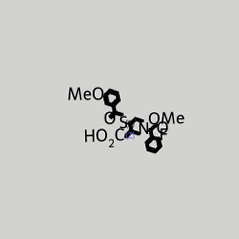 COC(=O)C(c1ccccc1F)N1CC[C@H](SCC(=O)c2cccc(OC)c2)/C(=C\C(=O)O)C1